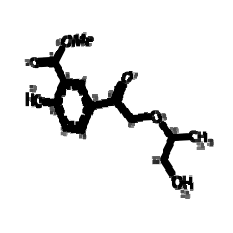 COC(=O)c1cc(C(=O)COC(C)CO)ccc1O